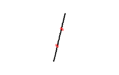 CCCCCCCCCCCCCCCCCCOC(=O)C=CCCCCCCCCCCCCCCCCC(=O)OCCCCCCCCCCCCCCCCCC